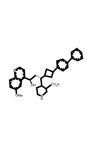 COc1ccc2nccc([C@H](O)C[C@H](C3CC(c4ccc(-c5ccccc5)cc4)C3)C3CCNCC3C(=O)O)c2c1